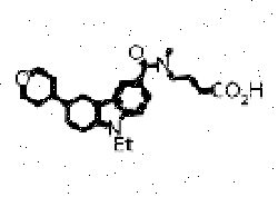 CCN1c2ccc(C(=O)N(C)CCCC(=O)O)cc2C2CC(C3CCOCC3)CCC21